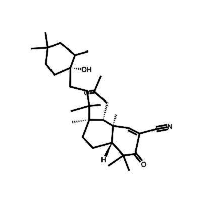 CC(=O)C[C@@H]1[C@@]2(C)C=C(C#N)C(=O)C(C)(C)[C@@H]2CC[C@@]1(C)C(C)(C)CC[C@@]1(O)CCC(C)(C)CC1C